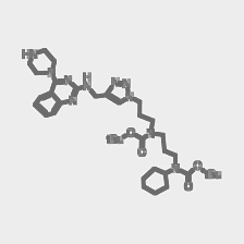 CC(C)(C)OC(=O)N(CCCN(C(=O)OC(C)(C)C)C1CCCCC1)CCCn1cc(CNc2nc(N3CCNCC3)c3ccccc3n2)nn1